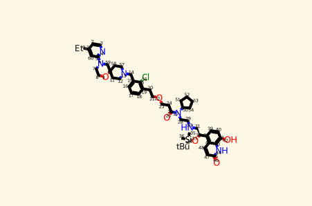 CCc1ccnc(N2CCOC3(CCN(Cc4cccc(CCOCCC(=O)N(CCNC[C@H](O[Si](C)(C)C(C)(C)C)c5ccc(O)c6[nH]c(=O)ccc56)C5CCCC5)c4Cl)CC3)C2)c1